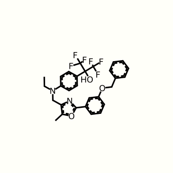 CCN(Cc1nc(-c2cccc(OCc3ccccc3)c2)oc1C)c1ccc(C(O)(C(F)(F)F)C(F)(F)F)cc1